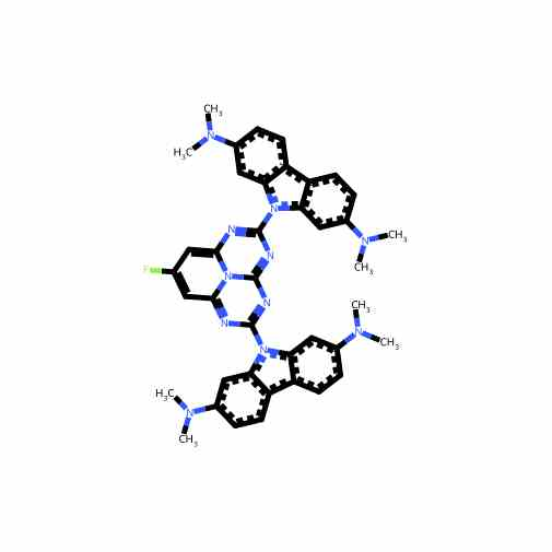 CN(C)c1ccc2c3ccc(N(C)C)cc3n(C3=NC4=CC(F)=CC5=NC(n6c7cc(N(C)C)ccc7c7ccc(N(C)C)cc76)=NC(=N3)N45)c2c1